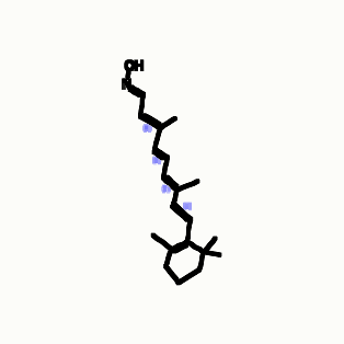 CC1=C(/C=C/C(C)=C/C=C/C(C)=C/C=NO)C(C)(C)CCC1